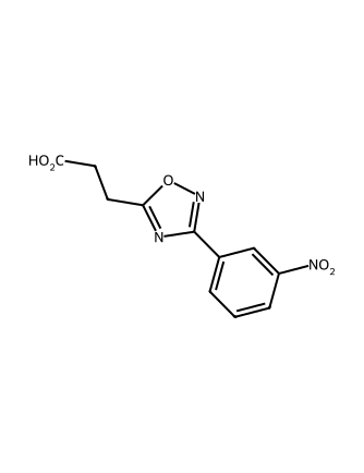 O=C(O)CCc1nc(-c2cccc([N+](=O)[O-])c2)no1